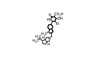 CCc1c(-c2ccc3c(c2)cc(CN2C[C@H]4CC[C@@H](N(C)C)[C@H]4C2)n3C)[nH]c(=O)c(C(=O)O)c1O